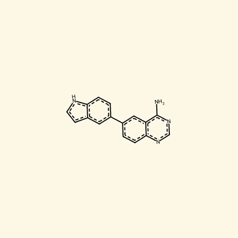 Nc1ncnc2ccc(-c3ccc4[nH]ccc4c3)cc12